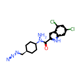 [N-]=[N+]=NC[C@H]1CC[C@@H](N(N)C(=O)c2cc3c(Cl)cc(Cl)cc3[nH]2)CC1